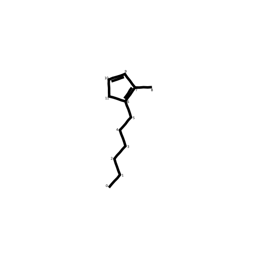 CCCCCCC1=C(C)C=CC1